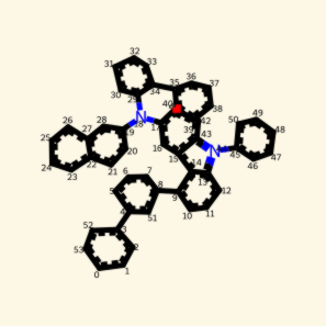 c1ccc(-c2cccc(-c3cccc4c3c3cc(N(c5ccc6ccccc6c5)c5ccccc5-c5ccccc5)ccc3n4-c3ccccc3)c2)cc1